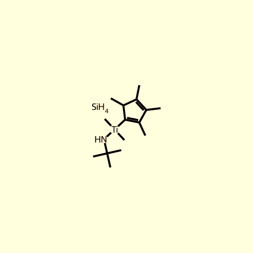 CC1=C(C)C(C)[C]([Ti]([CH3])([CH3])[NH]C(C)(C)C)=C1C.[SiH4]